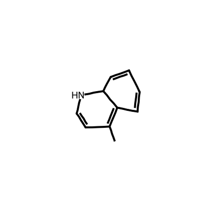 CC1=C2C=CC=CC2NC=C1